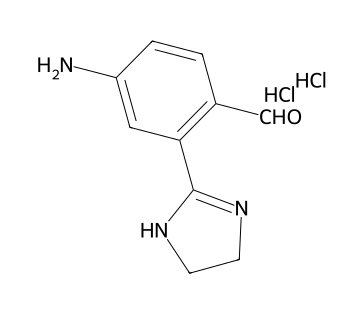 Cl.Cl.Nc1ccc(C=O)c(C2=NCCN2)c1